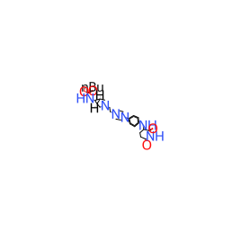 CCCCOC(=O)NC1[C@H]2CN(CCN3CCN(c4ccc(NC5CCC(=O)NC5=O)cc4)CC3)C[C@@H]12